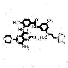 C=C/N=C1/C(N)=NC(N2CCOCC2)=N/C1=C(/N)Nc1cc(C(=O)Nc2cc(N(C)CCN(C)C)cc(C(F)(F)F)c2)ccc1C